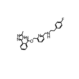 Cc1nnc2c3ccccc3c(OCc3cccc(CNCCc4ccc(F)cc4)n3)nn12